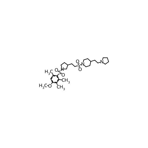 COc1cc(C)c(S(=O)(=O)N2CCC(CCS(=O)(=O)N3CCC(CCN4CCCC4)CC3)C2)c(C)c1C